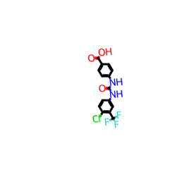 O=C(Nc1ccc(C(=O)O)cc1)Nc1ccc(Cl)c(C(F)(F)F)c1